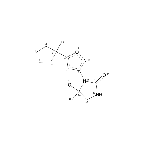 CCC(C)(CC)c1cc(N2C(=O)NCC2(C)O)no1